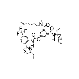 C=CCCCCN(C)C(=O)[C@@H]1C[C@H](OC(=O)Nc2cc(C(F)(F)F)ccc2C2=NC(CC)CS2)C[C@H]1C(=O)N[C@]1(CC)C[C@H]1C=C